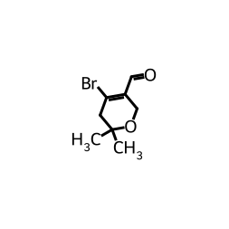 CC1(C)CC(Br)=C(C=O)CO1